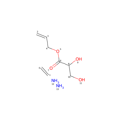 C=C.C=CCOC(=O)C(O)CO.N.N